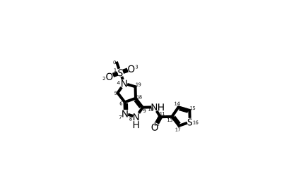 CS(=O)(=O)N1Cc2n[nH]c(NC(=O)c3ccsc3)c2C1